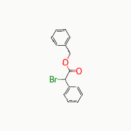 O=C(OCc1ccccc1)C(Br)c1ccccc1